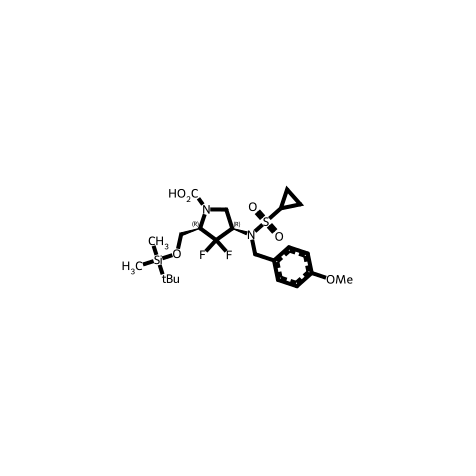 COc1ccc(CN([C@@H]2CN(C(=O)O)[C@H](CO[Si](C)(C)C(C)(C)C)C2(F)F)S(=O)(=O)C2CC2)cc1